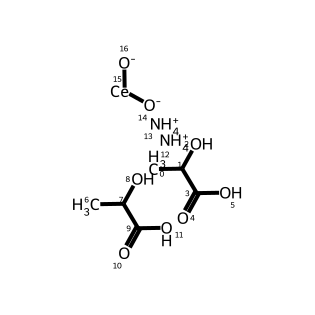 CC(O)C(=O)O.CC(O)C(=O)O.[NH4+].[NH4+].[O-][Ce][O-]